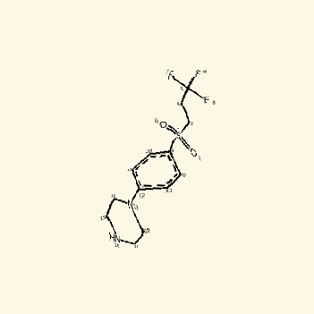 O=S(=O)(CCC(F)(F)F)c1ccc(N2CCNCC2)cc1